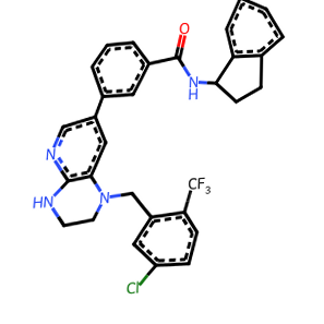 O=C(NC1CCc2ccccc21)c1cccc(-c2cnc3c(c2)N(Cc2cc(Cl)ccc2C(F)(F)F)CCN3)c1